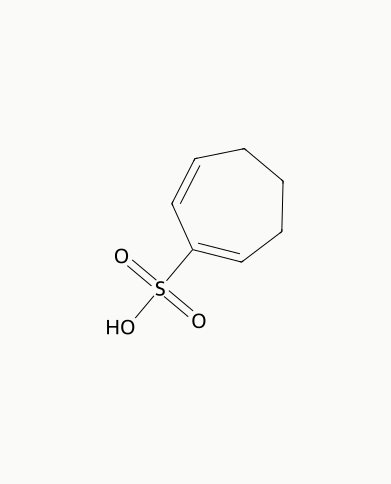 O=S(=O)(O)C1=CCCCC=C1